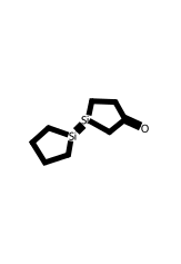 O=C1CC[Si](=[Si]2CCCC2)C1